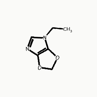 CCn1cnc2c1OCO2